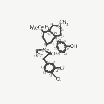 COC1C[C@@H](N(CC(C)C)C(=O)Cc2ccc(Cl)c(Cl)c2)C[C@]2(c3cccc(O)c3)CCN(C)C[C@@H]12